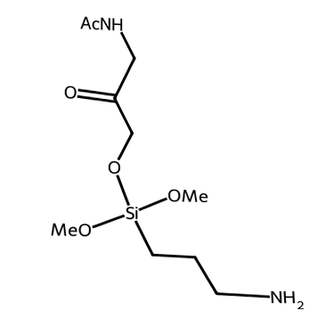 CO[Si](CCCN)(OC)OCC(=O)CNC(C)=O